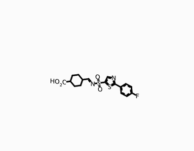 O=C(O)C1CCC(/C=N/S(=O)(=O)c2cnc(-c3ccc(F)cc3)s2)CC1